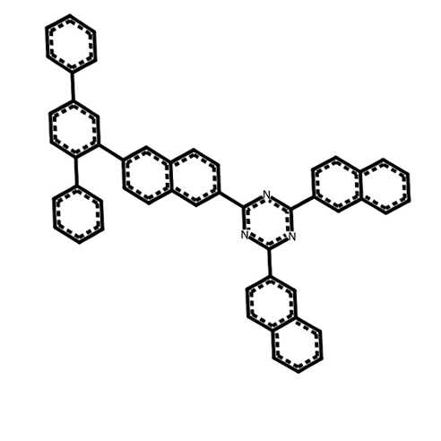 c1ccc(-c2ccc(-c3ccccc3)c(-c3ccc4cc(-c5nc(-c6ccc7ccccc7c6)nc(-c6ccc7ccccc7c6)n5)ccc4c3)c2)cc1